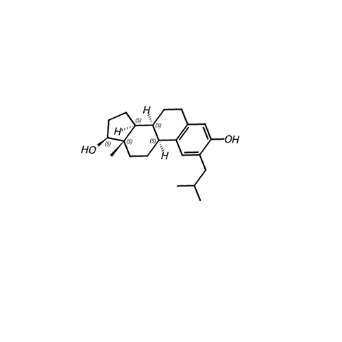 CC(C)Cc1cc2c(cc1O)CC[C@H]1[C@@H]2CC[C@]2(C)[C@@H](O)CC[C@@H]12